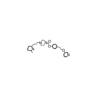 Cc1cccc(CCCN2CCN(C(=O)Oc3ccc(CCOc4cccnc4)cc3)CC2)n1